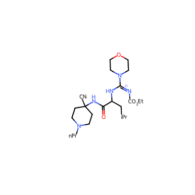 CCCN1CCC(C#N)(NC(=O)C(CC(C)C)N/C(=N\C(=O)OCC)N2CCOCC2)CC1